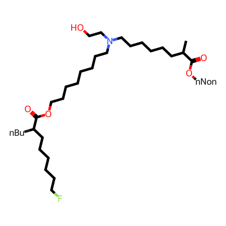 CCCCCCCCCOC(=O)C(C)CCCCCCN(CCO)CCCCCCCCOC(=O)C(CCCC)CCCCCCF